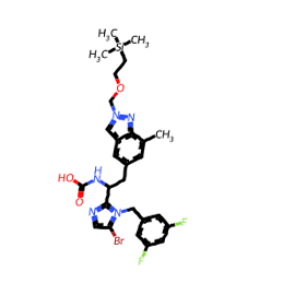 Cc1cc(CC(NC(=O)O)c2ncc(Br)n2Cc2cc(F)cc(F)c2)cc2cn(COCC[Si](C)(C)C)nc12